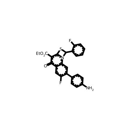 CCOC(=O)c1c2n(c3cc(-c4ccc(N)cc4)c(F)cc3c1=O)C(c1ccccc1F)S2